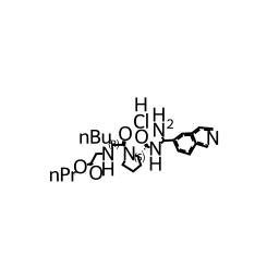 CCCC[C@@H](NCC(=O)OCCC)C(=O)N1CCC[C@H]1C(=O)NC(N)c1ccc2cnccc2c1.Cl